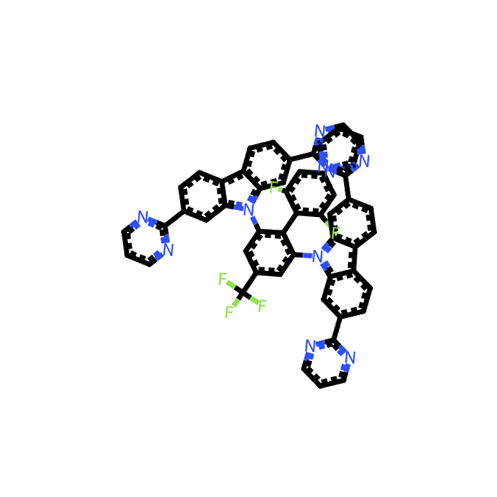 Fc1cccc(F)c1-c1c(-n2c3cc(-c4ncccn4)ccc3c3ccc(-c4ncccn4)cc32)cc(C(F)(F)F)cc1-n1c2cc(-c3ncccn3)ccc2c2ccc(-c3ncccn3)cc21